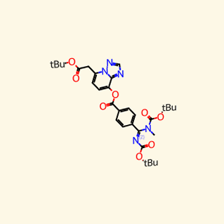 CN(C(=O)OC(C)(C)C)/C(=N\C(=O)OC(C)(C)C)c1ccc(C(=O)Oc2ccc(CC(=O)OC(C)(C)C)n3ncnc23)cc1